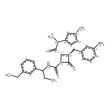 CCc1cccc(C(CC)NC(=O)N2C(=O)[C@H](Cc3ccnc(N)c3)[C@H]2C(=O)N(C)c2cnn(C)c2)c1